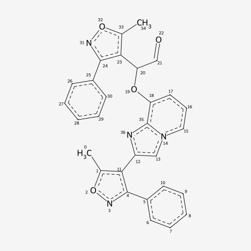 Cc1onc(-c2ccccc2)c1-c1cn2cccc(OC(C=O)c3c(-c4ccccc4)noc3C)c2n1